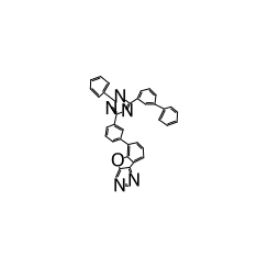 c1ccc(-c2cccc(-c3nc(-c4ccccc4)nc(-c4cccc(-c5cccc6c5oc5cncnc56)c4)n3)c2)cc1